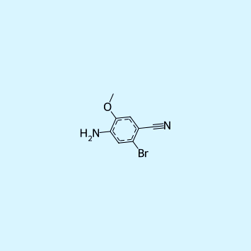 COc1cc(C#N)c(Br)cc1N